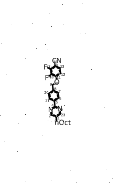 CCCCCCCCc1cnc(-c2ccc(COc3ccc(C#N)c(F)c3F)cc2)nc1